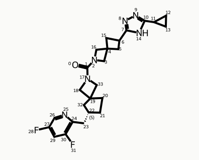 O=C(N1CC2(CC(c3nnc(C4CC4)[nH]3)C2)C1)N1CC2(CC[C@H](Cc3ncc(F)cc3F)C2)C1